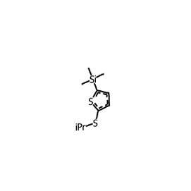 CC(C)Sc1ccc([Si](C)(C)C)s1